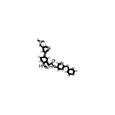 CN(C)Cc1cncc(-c2ccc3[nH]nc(C(=O)Nc4ccc(Cc5ccccc5)nc4)c3c2)c1